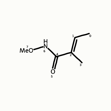 CC=C(C)C(=O)NOC